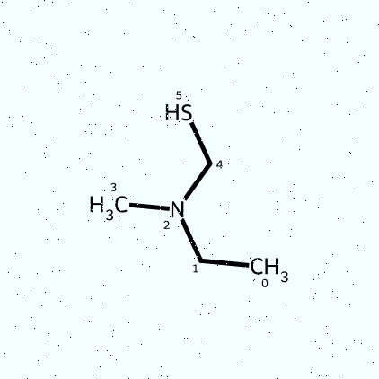 CCN(C)CS